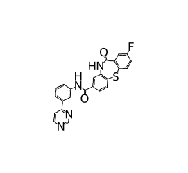 O=C(Nc1cccc(-c2ccncn2)c1)c1ccc2c(c1)NC(=O)c1cc(F)ccc1S2